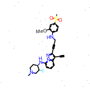 C#Cc1c(C#CCNc2ccc(S(C)(=O)=O)cc2OC)nn2c(N[C@@H]3CCN(C)C[C@@H]3F)cccc12